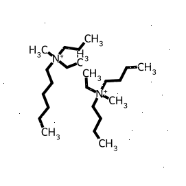 CCCCCC[N+](C)(CC)CCC.CCCC[N+](C)(CC)CCCC